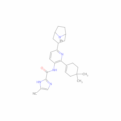 CC(C)N1C2CCC1CC(c1ccc(NC(=O)c3ncc(C#N)[nH]3)c(C3=CCC(C)(C)CC3)n1)C2